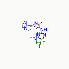 CCNc1nc(Nc2cn([C@]3(C)CCn4ccnc43)nc2C)ncc1C(F)(F)F